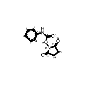 O=C(Nc1c[c]ccc1)ON1C(=O)CCC1=O